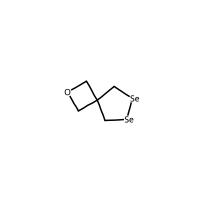 C1OCC12C[Se][Se]C2